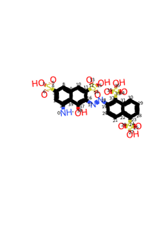 [NH]c1cc(S(=O)(=O)O)cc2cc(S(=O)(=O)O)c(/N=N/c3ccc4c(S(=O)(=O)O)cccc4c3S(=O)(=O)O)c(O)c12